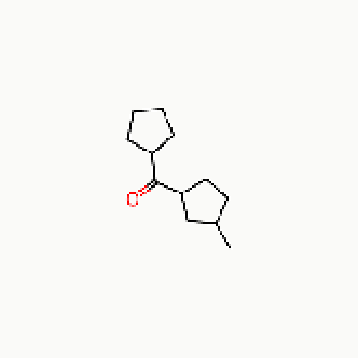 CC1CCC(C(=O)C2CCCC2)C1